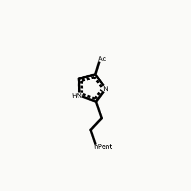 CCCCCCCc1nc(C(C)=O)c[nH]1